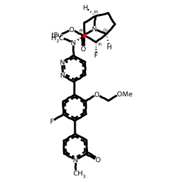 COCOc1cc(-c2ccn(C)c(=O)c2)c(F)cc1-c1ccc(N(C)[C@@H]2C[C@H]3CC[C@@H]([C@@H]2F)N3C(=O)OC(C)(C)C)nn1